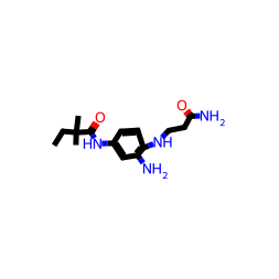 CCC(C)(C)C(=O)Nc1ccc(NCCC(N)=O)c(N)c1